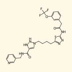 O=C(Cc1cccc(OC(F)(F)F)c1)Nc1nnc(CCCCN2C=C(C(=O)NCc3cccnc3)NN2)s1